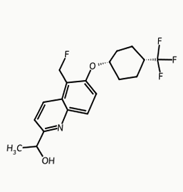 CC(O)c1ccc2c(CF)c(O[C@H]3CC[C@@H](C(F)(F)F)CC3)ccc2n1